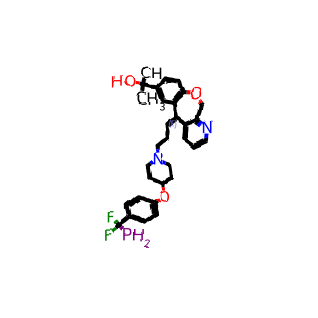 CC(C)(O)c1ccc2c(c1)/C(=C/CCN1CCC(Oc3ccc(C(F)(F)P)cc3)CC1)c1cccnc1CO2